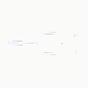 CC1(C)C=CN(C#N)C=C1